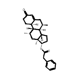 C[C@@H]1CC2=CC(=O)CC[C@@H]2[C@@H]2[C@@H]1[C@@H]1CC[C@H](OC(=O)Cc3ccccc3)[C@@]1(C)C[C@@H]2C